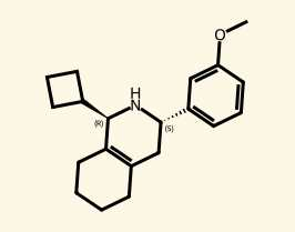 COc1cccc([C@@H]2CC3=C(CCCC3)[C@@H](C3CCC3)N2)c1